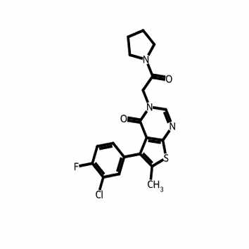 Cc1sc2ncn(CC(=O)N3CCCC3)c(=O)c2c1-c1ccc(F)c(Cl)c1